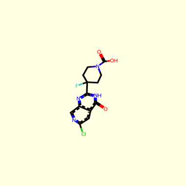 O=C(O)N1CCC(F)(c2nc3cnc(Cl)cc3c(=O)[nH]2)CC1